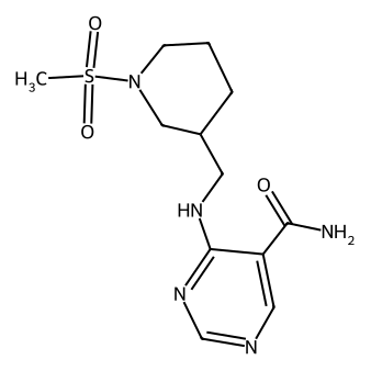 CS(=O)(=O)N1CCCC(CNc2ncncc2C(N)=O)C1